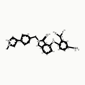 Cn1cc(-c2ccc(CN3Cc4cccc(Oc5ccc(N)cc5C(F)F)c4C3=O)cc2)cn1